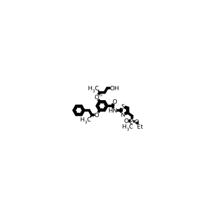 CCOP(C)(=O)Cc1csc(NC(=O)c2cc(O[C@@H](C)CCO)cc(O[C@@H](C)Cc3ccccc3)c2)n1